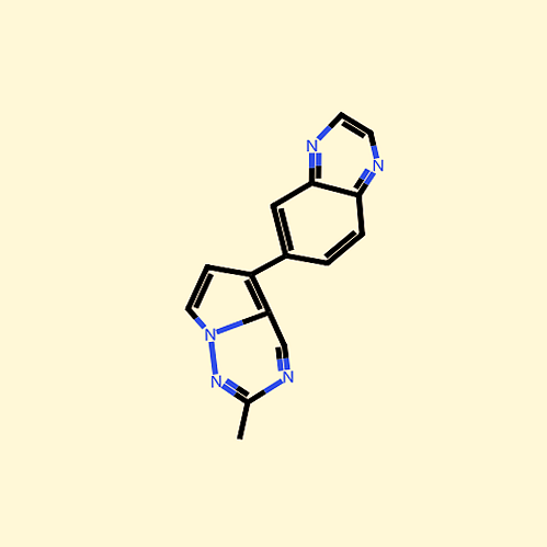 Cc1ncc2c(-c3ccc4nccnc4c3)ccn2n1